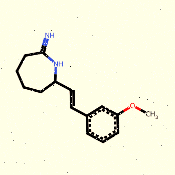 COc1cccc(C=CC2CCCCC(=N)N2)c1